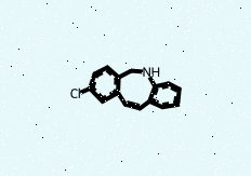 Clc1ccc2c(c1)/C=C\c1ccccc1NC2